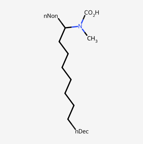 CCCCCCCCCCCCCCCCCC(CCCCCCCCC)N(C)C(=O)O